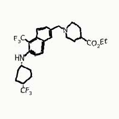 CCOC(=O)C1CCN(Cc2ccc3c(C(F)(F)F)c(N[C@H]4CC[C@@H](C(F)(F)F)CC4)ccc3c2)CC1